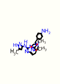 Cc1cc(NC2=N/C(N3CCN(C)CC3)=C/CC(C)C(/C=C/c3ccc(N)cc3)=N\2)n[nH]1